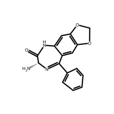 N[C@H]1N=C(c2ccccc2)c2cc3c(cc2NC1=O)OCO3